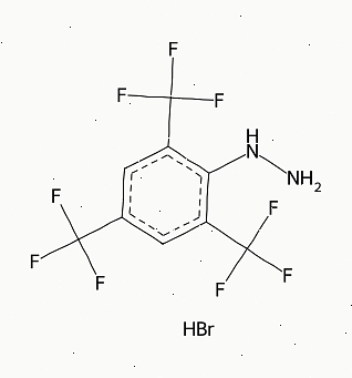 Br.NNc1c(C(F)(F)F)cc(C(F)(F)F)cc1C(F)(F)F